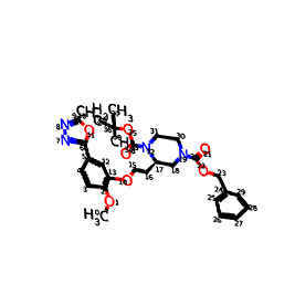 COc1ccc(-c2nnc(C)o2)cc1OCC[C@@H]1CN(C(=O)OCc2ccccc2)CCN1C(=O)OC(C)(C)C